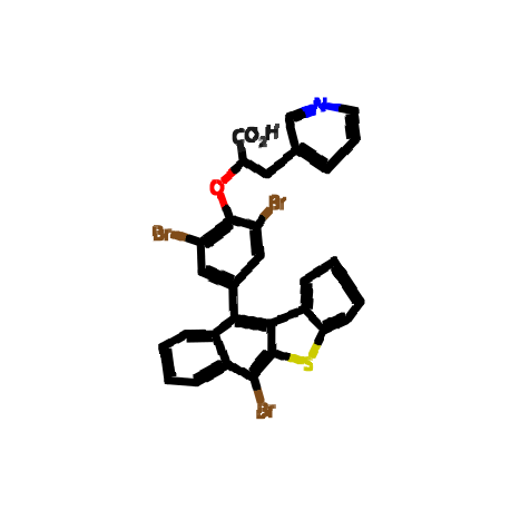 O=C(O)C(Cc1cccnc1)Oc1c(Br)cc(-c2c3ccccc3c(Br)c3sc4ccccc4c23)cc1Br